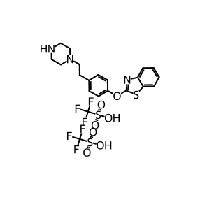 O=S(=O)(O)C(F)(F)F.O=S(=O)(O)C(F)(F)F.c1ccc2sc(Oc3ccc(CCN4CCNCC4)cc3)nc2c1